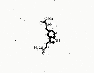 CC(C)COC(=O)N(N)Cc1ccc2[nH]cc(CCN(C)C)c2c1